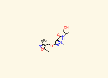 CCCCc1noc(C)c1COc1cc(C(=O)NC(C)CO)n(C)n1